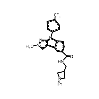 CC(C)N1CC(CNC(=O)c2ccc3c(c2)c2cn(C)nc2n3-c2ccc(C(F)(F)F)cc2)C1